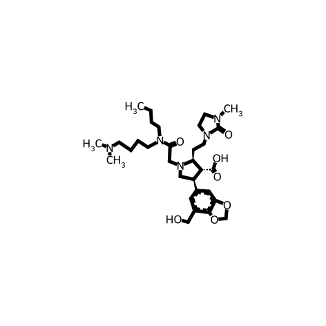 CCCCN(CCCCN(C)C)C(=O)CN1C[C@H](c2cc(CO)c3c(c2)OCO3)[C@@H](C(=O)O)[C@@H]1CCN1CCN(C)C1=O